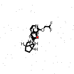 Cc1cc(N2C[C@H]3CC[C@@H](C2)[C@@H]3Nc2nc3c(OCC(F)F)nccn3n2)sn1